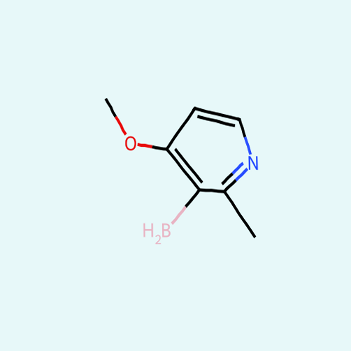 Bc1c(OC)ccnc1C